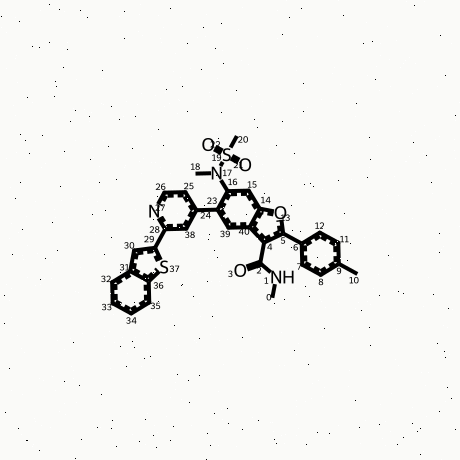 CNC(=O)c1c(-c2ccc(C)cc2)oc2cc(N(C)S(C)(=O)=O)c(-c3ccnc(-c4cc5ccccc5s4)c3)cc12